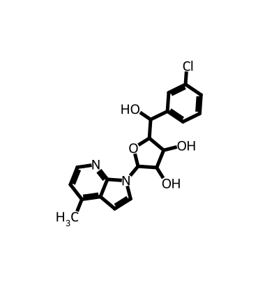 Cc1ccnc2c1ccn2C1OC(C(O)c2cccc(Cl)c2)C(O)C1O